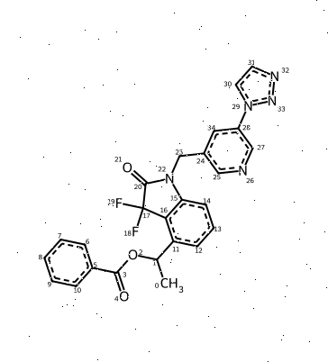 CC(OC(=O)c1ccccc1)c1cccc2c1C(F)(F)C(=O)N2Cc1cncc(-n2ccnn2)c1